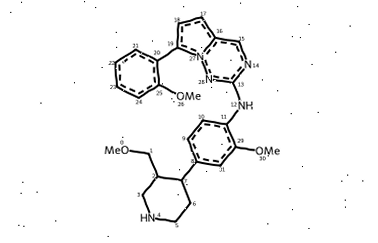 COCC1CNCCC1c1ccc(Nc2ncc3ccc(-c4ccccc4OC)n3n2)c(OC)c1